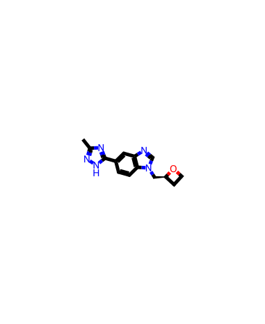 Cc1n[nH]c(-c2ccc3c(c2)ncn3C[C@@H]2CCO2)n1